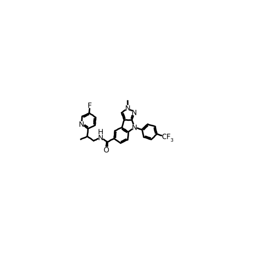 CC(CNC(=O)c1ccc2c(c1)c1cn(C)nc1n2-c1ccc(C(F)(F)F)cc1)c1ccc(F)cn1